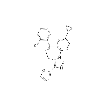 Clc1ccccc1C1=NCc2c(-c3ccco3)ncn2-c2ccc(C3CC3)cc21